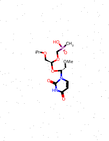 COC[C@@H](O[C@@H](COC(C)C)OCP(C)(=O)O)n1ccc(=O)[nH]c1=O